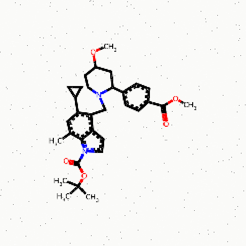 COC(=O)c1ccc(C2CC(OC)CCN2Cc2c(C3CC3)cc(C)c3c2ccn3C(=O)OC(C)(C)C)cc1